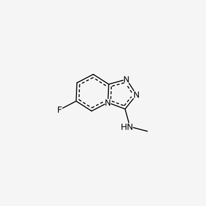 CNc1nnc2ccc(F)cn12